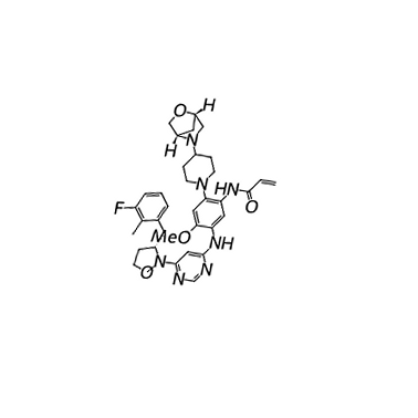 C=CC(=O)Nc1cc(Nc2cc(N3OCC[C@@H]3Cc3cccc(F)c3C)ncn2)c(OC)cc1N1CCC(N2C[C@@H]3C[C@H]2CO3)CC1